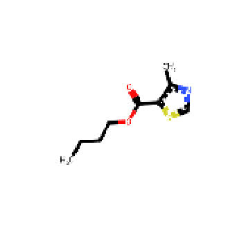 CCCCOC(=O)c1scnc1C